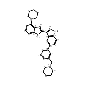 c1cc(N2CCCCC2)c2nc(-c3n[nH]c4ccc(-c5cncc(CN6CCCCC6)c5)nc34)[nH]c2c1